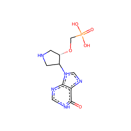 O=c1[nH]cnc2c1ncn2C1CNC[C@@H]1OCP(=O)(O)O